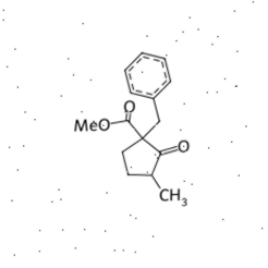 COC(=O)C1(Cc2ccccc2)CCC(C)C1=O